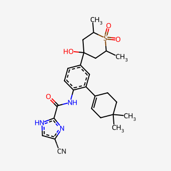 CC1CC(O)(c2ccc(NC(=O)c3nc(C#N)c[nH]3)c(C3=CCC(C)(C)CC3)c2)CC(C)S1(=O)=O